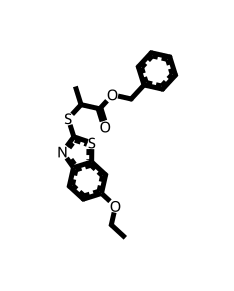 CCOc1ccc2nc(SC(C)C(=O)OCc3ccccc3)sc2c1